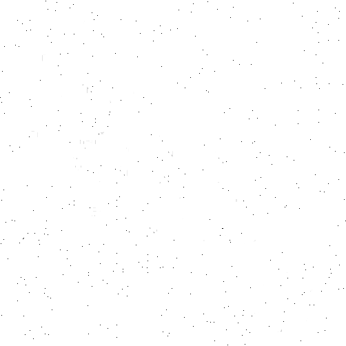 CCCCC(CC)CN(CC(CC)CCCC)c1ccc(N=Nc2c(C#N)cc(OCC3CCCCC3)cc2C#N)c(NC(=O)CC)c1